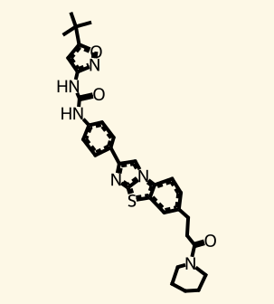 CC(C)(C)c1cc(NC(=O)Nc2ccc(-c3cn4c(n3)sc3cc(CCC(=O)N5CCCCC5)ccc34)cc2)no1